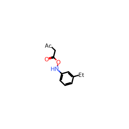 CCc1cccc(NOC(=O)CC(C)=O)c1